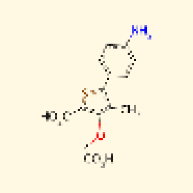 Cc1c(-c2ccc(N)cc2)sc(C(=O)O)c1OCC(=O)O